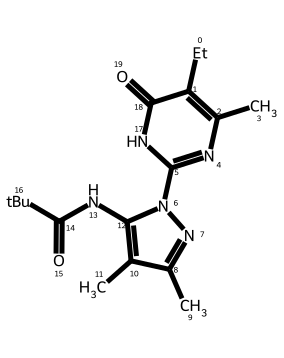 CCc1c(C)nc(-n2nc(C)c(C)c2NC(=O)C(C)(C)C)[nH]c1=O